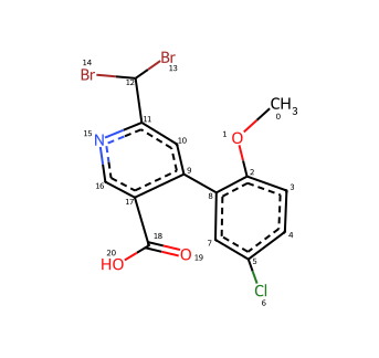 COc1ccc(Cl)cc1-c1cc(C(Br)Br)ncc1C(=O)O